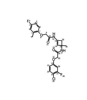 Cc1cc(F)ncc1OCC(=O)NC1=CC(C)(NC(=O)COc2ccc(Cl)c(F)c2)C1